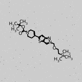 CC(C)(C)OC(=O)N1CC=C(c2cc3nn(COCC[Si](C)(C)C)cc3s2)CC1